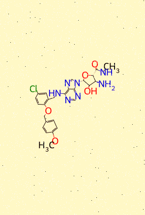 CNC(=O)[C@H]1O[C@@H](n2cnc3c(NCc4cc(Cl)ccc4OCc4ccc(OC)cc4)ncnc32)[C@H](O)[C@@H]1N